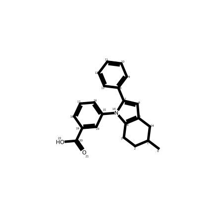 CC1CCc2c(cc(-c3ccccc3)n2-c2cccc(C(=O)O)c2)C1